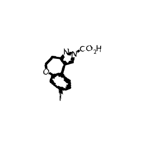 O=C(O)n1cc2c(n1)CCOc1cc(I)ccc1-2